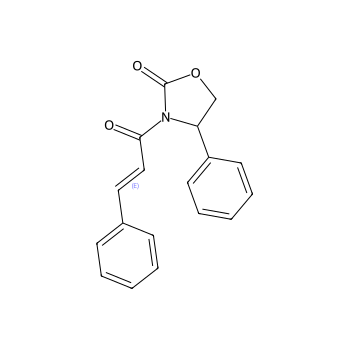 O=C(/C=C/c1ccccc1)N1C(=O)OCC1c1ccccc1